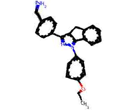 CCOc1ccc(-n2nc(-c3ccc(CN)cc3)c3c2-c2ccccc2C3)cc1